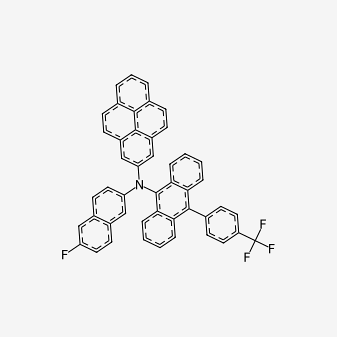 Fc1ccc2cc(N(c3cc4ccc5cccc6ccc(c3)c4c56)c3c4ccccc4c(-c4ccc(C(F)(F)F)cc4)c4ccccc34)ccc2c1